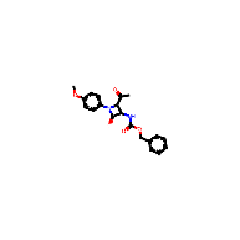 COc1ccc(N2C(=O)C(NC(=O)OCc3ccccc3)C2C(C)=O)cc1